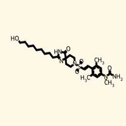 Cc1cc(N(C)C(N)=O)cc(C)c1C=CS(=O)(=O)N1CCC2(CC1)N=C(CCCCCCCCCO)NC2=O